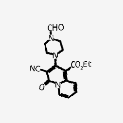 CCOC(=O)c1c(N2CCN(C=O)CC2)c(C#N)c(=O)n2ccccc12